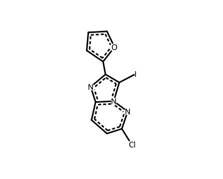 Clc1ccc2nc(-c3ccco3)c(I)n2n1